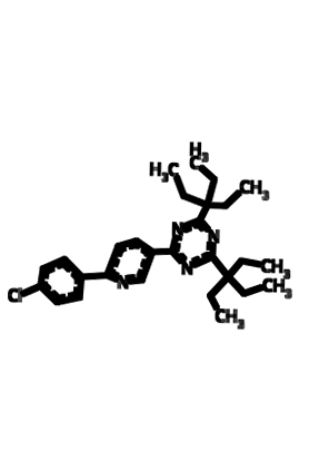 CCC(CC)(CC)c1nc(-c2ccc(-c3ccc(Cl)cc3)nc2)nc(C(CC)(CC)CC)n1